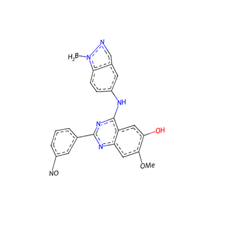 Bn1ncc2cc(Nc3nc(-c4cccc(N=O)c4)nc4cc(OC)c(O)cc34)ccc21